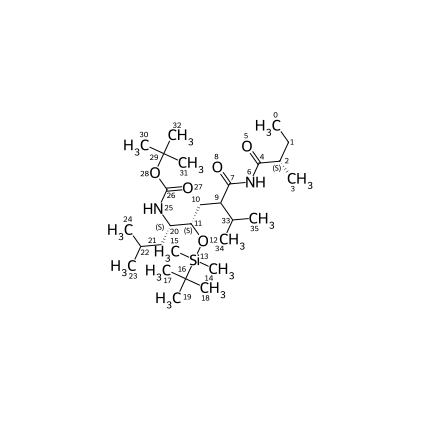 CC[C@H](C)C(=O)NC(=O)C(C[C@H](O[Si](C)(C)C(C)(C)C)[C@H](CC(C)C)NC(=O)OC(C)(C)C)C(C)C